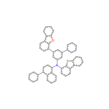 c1ccc(-c2cc(-c3cccc4c3oc3ccccc34)cc(N(c3ccc(-c4ccccc4)c4ccccc34)c3cccc4c3sc3ccccc34)c2)cc1